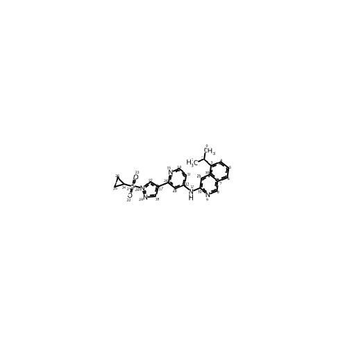 CC(C)c1cccc2cnc(Nc3ccnc(-c4cnn(S(=O)(=O)C5CC5)c4)c3)cc12